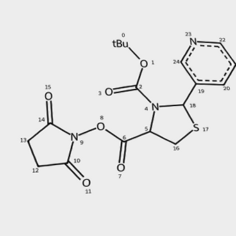 CC(C)(C)OC(=O)N1C(C(=O)ON2C(=O)CCC2=O)CSC1c1cccnc1